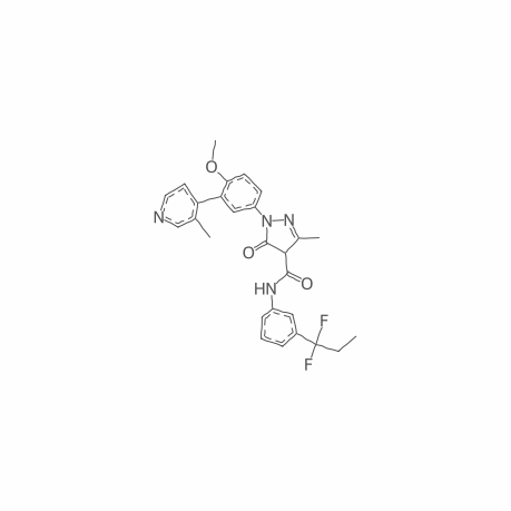 CCC(F)(F)c1cccc(NC(=O)C2C(=O)N(c3ccc(OC)c(-c4ccncc4C)c3)N=C2C)c1